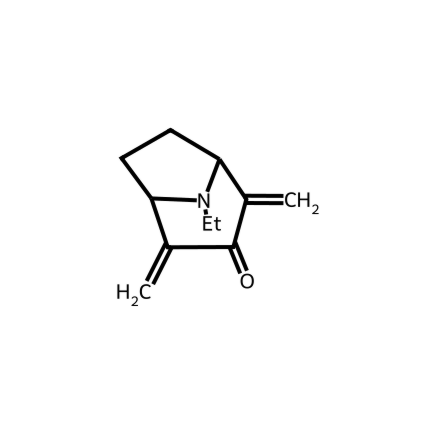 C=C1C(=O)C(=C)C2CCC1N2CC